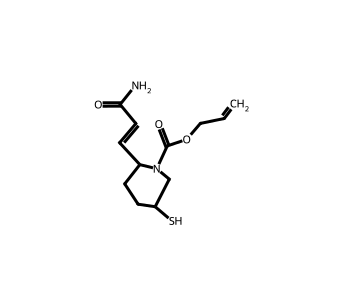 C=CCOC(=O)N1CC(S)CCC1C=CC(N)=O